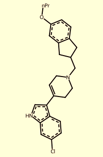 CCCOc1ccc2c(c1)CC(CN1CC=C(c3c[nH]c4cc(Cl)ccc34)CC1)C2